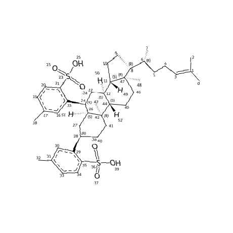 CC(C)=CCC[C@@H](C)[C@H]1CC[C@H]2[C@@H]3C[C@H](c4cc(C)ccc4S(=O)(=O)O)[C@@H]4C[C@H](c5cc(C)ccc5S(=O)(=O)O)CC[C@]4(C)[C@H]3CC[C@]12C